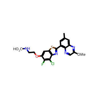 COc1cnc2c(-c3nc4c(Cl)c(F)c(OCCNC(=O)O)cc4s3)cc(C)cc2n1